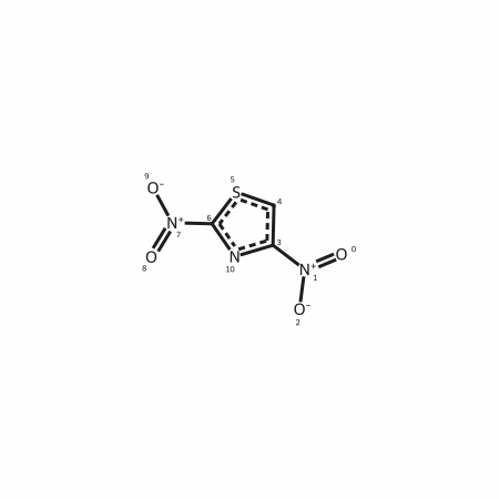 O=[N+]([O-])c1csc([N+](=O)[O-])n1